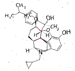 CO[C@]12CC[C@@]3(C[C@@H]1[C@](C)(O)c1ccc(C(C)C)cc1)[C@H]1Cc4ccc(O)c5c4[C@@]3(CCN1CC1CC1)[C@H]2O5